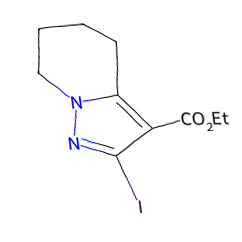 CCOC(=O)c1c(I)nn2c1CCCC2